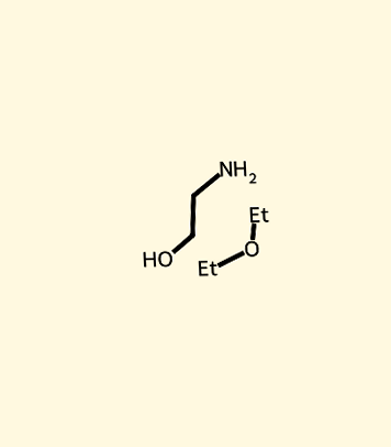 CCOCC.NCCO